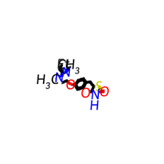 C/C=C(\N=C/CC)N(C)CCOc1ccc(CC2SC(=O)NC2=O)cc1